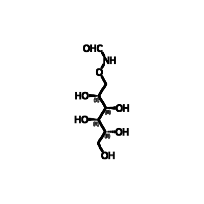 O=CNOC[C@H](O)[C@@H](O)[C@H](O)[C@H](O)CO